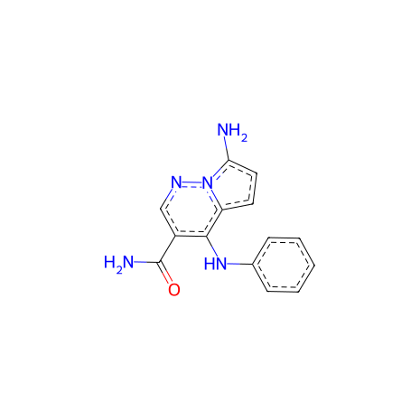 NC(=O)c1cnn2c(N)ccc2c1Nc1ccccc1